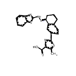 Cc1sc(-c2ccc3c(c2)/C(=N/Nc2nc4ccccc4s2)CCC3)nc1C(=O)O